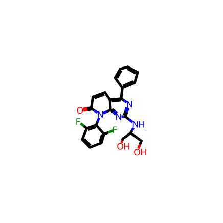 O=c1ccc2c(-c3ccccc3)nc(NC(CO)CO)nc2n1-c1c(F)cccc1F